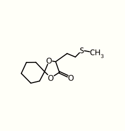 CSCCC1OC2(CCCCC2)OC1=O